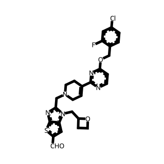 O=Cc1cc2c(nc(CN3CC=C(c4nccc(OCc5ccc(Cl)cc5F)n4)CC3)n2CC2CCO2)s1